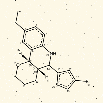 CCc1ccc2c(c1)[C@H]1OCCC[C@H]1C(c1cc(Br)cs1)N2